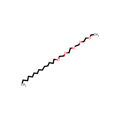 CCCCCCCCCCCCCCOCCOCCOCCOCCOCC